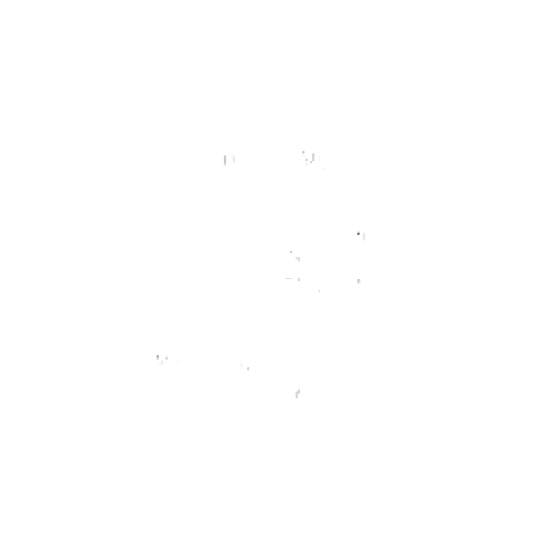 CCOC(=O)[C@H]1CCCN1C(=O)c1nc(-c2ccc(OC)c3nc(C(F)(F)F)ccc23)oc1[C@H](C)N